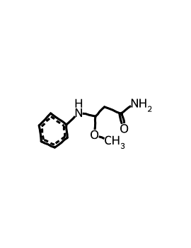 COC(CC(N)=O)Nc1ccccc1